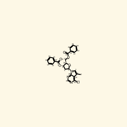 Cc1cn([C@H]2C[C@H](OC(=O)c3ccccc3)[C@@H](COC(=O)c3ccccc3)O2)c2ncnc(Cl)c12